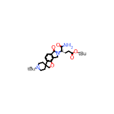 CC(C)(C)OC(=O)CC[C@@H](C(N)=O)N1Cc2c(ccc3c2OCC32CCN(C(C)(C)C)CC2)C1=O